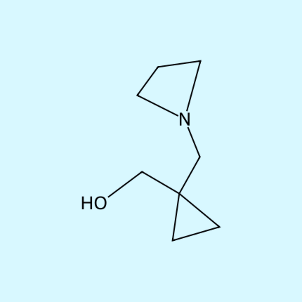 OCC1(CN2CCC2)CC1